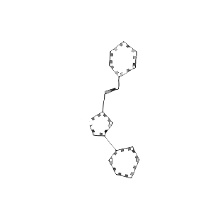 C(=Cc1cc(-c2ccccc2)c[se]1)c1ccccc1